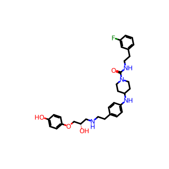 O=C(NCCc1cccc(F)c1)N1CCC(Nc2ccc(CCNC[C@H](O)COc3ccc(O)cc3)cc2)CC1